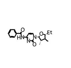 CC[C@H]1O[C@@H](n2ccc(NC(=O)c3ccccc3)nc2=O)[C@@H](C)C1C